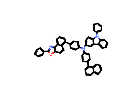 c1ccc(-c2nc3c(ccc4c(-c5ccc(N(c6ccc(-c7cccc8ccccc78)cc6)c6ccc7c(c6)c6ccccc6n7-c6ccccc6)cc5)cccc43)o2)cc1